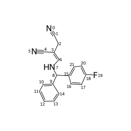 N#CC/C(C#N)=C/NC(c1ccccc1)c1ccc(F)cc1